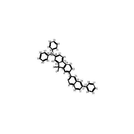 CC1(C)c2cc(-c3ccc4ccc(-c5ccccc5)cc4c3)ccc2-c2ccc(N(c3ccccc3)c3ccccc3)cc21